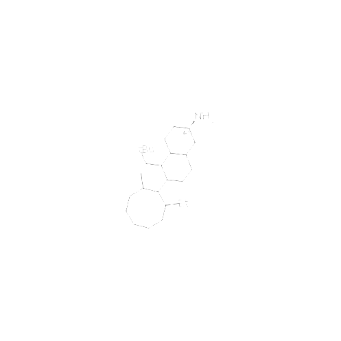 CCC1CCCCCC(C)C1C1CCC2C[C@H](N)CCC2C1CC(C)(C)C